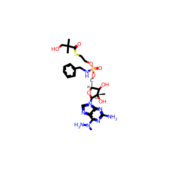 CN(N)c1nc(N)nc2c1ncn2C1O[C@H](COP(=O)(NCc2ccccc2)OCCSC(=O)C(C)(C)CO)C(O)[C@]1(C)O